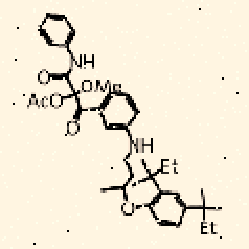 CCC(C)(C)c1ccc(OC(C)CCNc2cccc(C(=O)C(OC)(OC(C)=O)C(=O)Nc3ccccc3)c2)c(C(C)(C)CC)c1